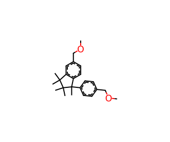 COCc1ccc(C2(C)c3ccc(COC)cc3C(C)(C)C2(C)C)cc1